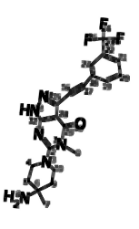 Cn1c(N2CCC(C)(N)CC2)nc2[nH]nc(C#Cc3cccc(C(F)(F)F)c3)c2c1=O